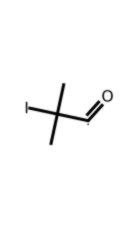 CC(C)(I)[C]=O